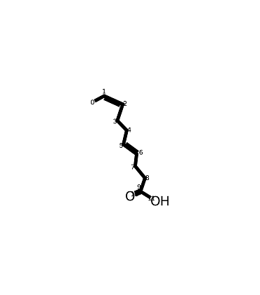 C/C=C\CC/C=C/CCC(=O)O